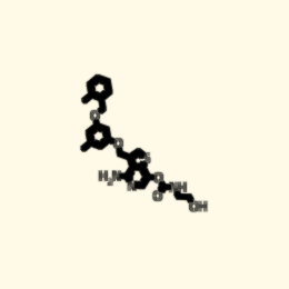 Cc1cc(OCc2ccccc2C)cc(OCc2csc3c(OC(=O)NCCO)cnc(N)c23)c1